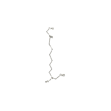 CCCN(CC=O)CCCCCCCNCC=O